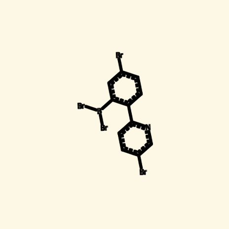 BrB(Br)c1cc(Br)ccc1-c1ccc(Br)cn1